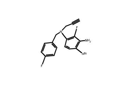 C#CCN(Cc1ccc(F)cc1)c1ccc(CCC)c(N)c1F